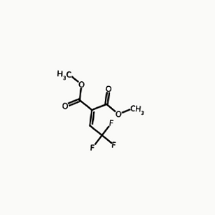 COC(=O)C(=CC(F)(F)F)C(=O)OC